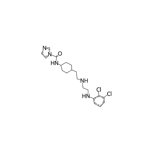 O=C(NC1CCC(CCNCCNc2cccc(Cl)c2Cl)CC1)n1ccnc1